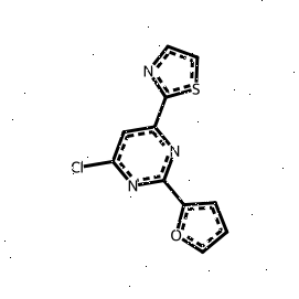 Clc1cc(-c2nccs2)nc(-c2ccco2)n1